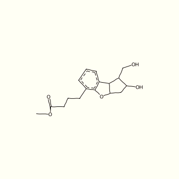 COC(=O)CCCc1cccc2c1OC1CC(O)C(CO)C21